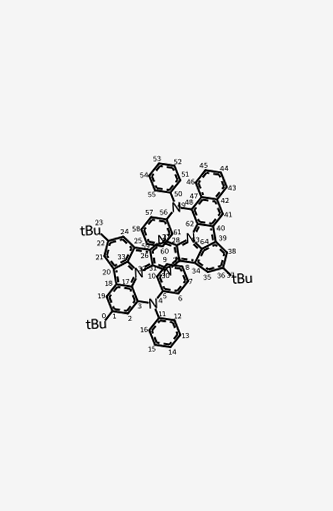 CC(C)(C)c1cc(N(c2ccccc2)c2ccccc2)c2c(c1)c1cc(C(C)(C)C)cc3c4nc5c(nc4n2c13)c1cc(C(C)(C)C)cc2c3cc4ccccc4c(N(c4ccccc4)c4ccccc4)c3n5c21